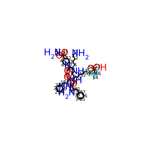 NCCCC[C@@H](NC(=O)C(CCCCF)NC(=O)[C@@H](Cc1ccccc1)NC(=O)[C@H](N)Cc1ccccc1)C(=O)N1CCC(C(=O)ON)CC1.O=C(O)C(F)(F)F